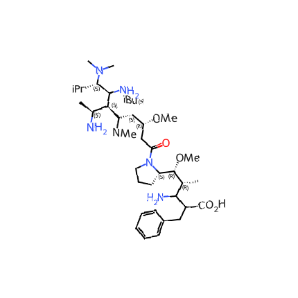 CC[C@H](C)[C@@H](C(NC)[C@H](C(N)[C@H](C(C)C)N(C)C)[C@H](C)N)[C@@H](CC(=O)N1CCC[C@H]1[C@H](OC)[C@H](C)C(N)C(Cc1ccccc1)C(=O)O)OC